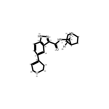 O=C(N[C@@H]1CN2CCC1CC2)c1n[nH]c2ccc(C3=CCOCC3)cc12